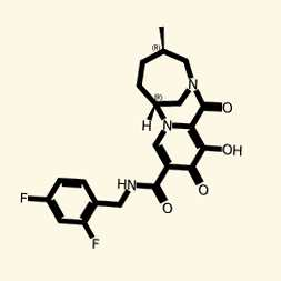 C[C@@H]1CC[C@@H]2CN(C1)C(=O)c1c(O)c(=O)c(C(=O)NCc3ccc(F)cc3F)cn12